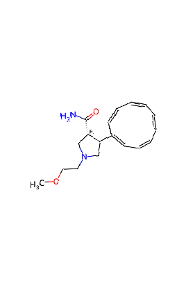 COCCN1CC(c2ccccccccc2)[C@@H](C(N)=O)C1